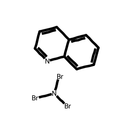 BrN(Br)Br.c1ccc2ncccc2c1